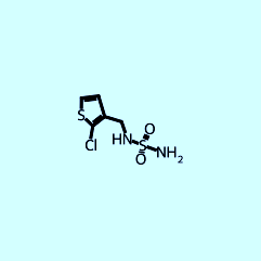 NS(=O)(=O)NCc1ccsc1Cl